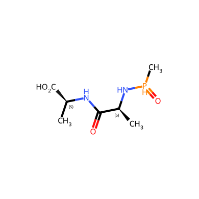 C[C@H](NC(=O)[C@H](C)N[PH](C)=O)C(=O)O